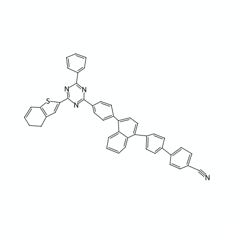 N#Cc1ccc(-c2ccc(-c3ccc(-c4ccc(-c5nc(-c6ccccc6)nc(-c6cc7c(s6)C=CCC7)n5)cc4)c4ccccc34)cc2)cc1